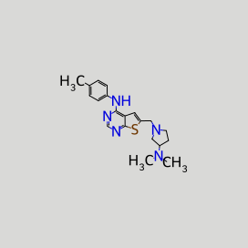 Cc1ccc(Nc2ncnc3sc(CN4CCC(N(C)C)C4)cc23)cc1